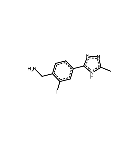 Cc1nnc(-c2ccc(CN)c(I)c2)[nH]1